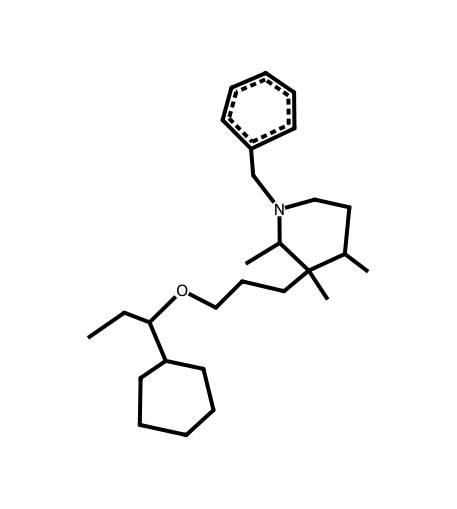 CCC(OCCCC1(C)C(C)CCN(Cc2ccccc2)C1C)C1CCCCC1